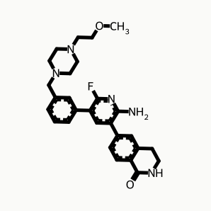 COCCN1CCN(Cc2cccc(-c3cc(-c4ccc5c(c4)CCNC5=O)c(N)nc3F)c2)CC1